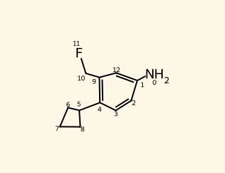 Nc1ccc(C2CCC2)c(CF)c1